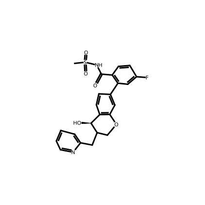 CS(=O)(=O)NC(=O)c1ccc(F)cc1-c1ccc2c(c1)OCC(Cc1ccccn1)[C@H]2O